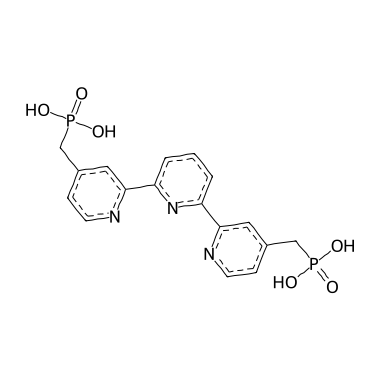 O=P(O)(O)Cc1ccnc(-c2cccc(-c3cc(CP(=O)(O)O)ccn3)n2)c1